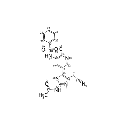 CC(=O)Nc1nc(CC#N)c(-c2cnc(Cl)c(NS(=O)(=O)c3ccccc3)c2)s1